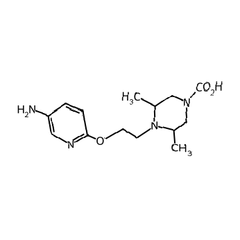 CC1CN(C(=O)O)CC(C)N1CCOc1ccc(N)cn1